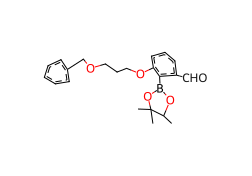 CC1OB(c2c(C=O)cccc2OCCCOCc2ccccc2)OC1(C)C